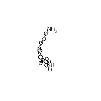 NCCOCCOCCOCCN1CCN(c2ccc3c(c2)C(=O)N(C2CCC(=O)NC2=O)C3=O)CC1